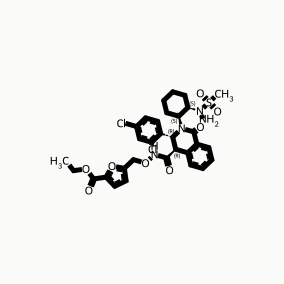 CCOC(=O)c1ccc(CONC(=O)[C@@H]2c3ccccc3C(=O)N([C@H]3CCCC[C@@H]3N(N)S(C)(=O)=O)[C@H]2c2ccc(Cl)cc2Cl)o1